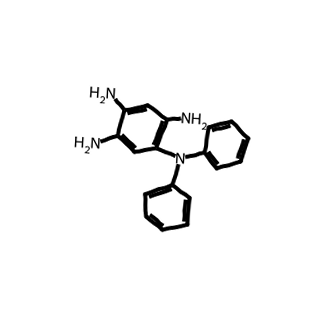 Nc1cc(N)c(N(c2ccccc2)c2ccccc2)cc1N